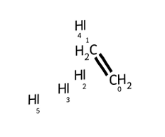 C=C.I.I.I.I